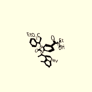 CCOC(=O)CC(c1ccccc1)n1c(=O)n(C(C)c2c[nH]c3cccc(C)c23)c2ccc(C(=O)N(O)CC)cc21